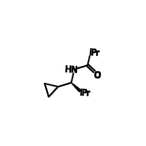 CC(C)C(=O)N[C@@H](C(C)C)C1CC1